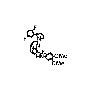 COc1cc2nc(-c3cnn4ccc(N5CCC[C@@H]5c5cc(F)ccc5F)nc34)[nH]c2cc1OC